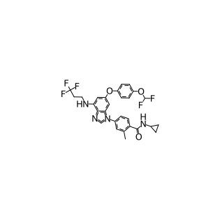 Cc1cc(-n2cnc3c(NCCC(F)(F)F)cc(Oc4ccc(OC(F)F)cc4)cc32)ccc1C(=O)NC1CC1